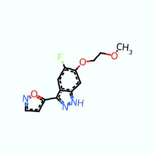 COCCOc1cc2[nH]nc(-c3ccno3)c2cc1F